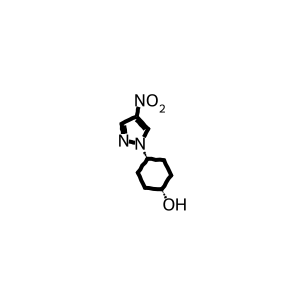 O=[N+]([O-])c1cnn([C@H]2CC[C@@H](O)CC2)c1